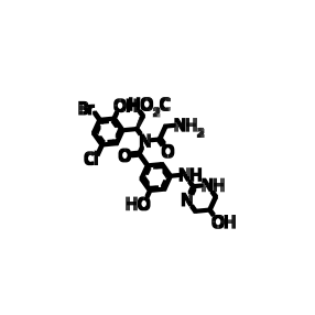 NCC(=O)N(C(=O)c1cc(O)cc(NC2=NCC(O)CN2)c1)[C@H](CC(=O)O)c1cc(Cl)cc(Br)c1O